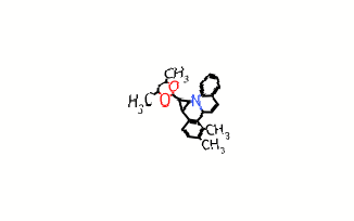 Cc1ccc2c(c1C)C1C=Cc3ccccc3N1C1C2C1C1OC(C)CC(C)O1